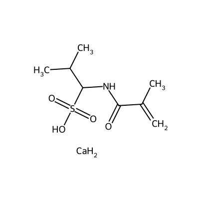 C=C(C)C(=O)NC(C(C)C)S(=O)(=O)O.[CaH2]